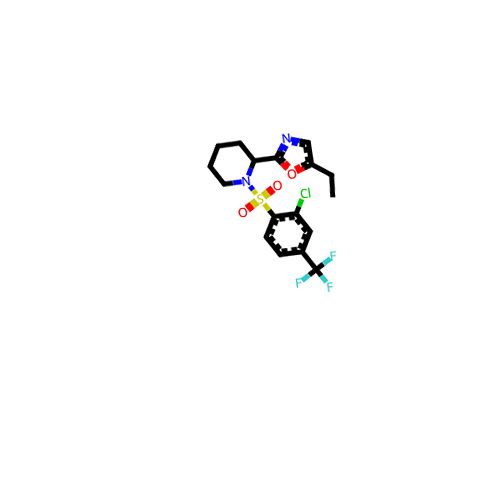 CCc1cnc(C2CCCCN2S(=O)(=O)c2ccc(C(F)(F)F)cc2Cl)o1